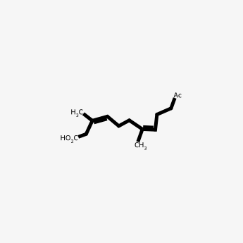 CC(=O)CCC=C(C)CCC=C(C)CC(=O)O